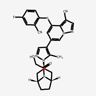 Cc1c(-c2cc(Sc3ccc(F)cc3C#N)c3c(C#N)cnn3c2)cnn1[C@@H]1C[C@H]2CC[C@@H](C1)N2C(=O)CO